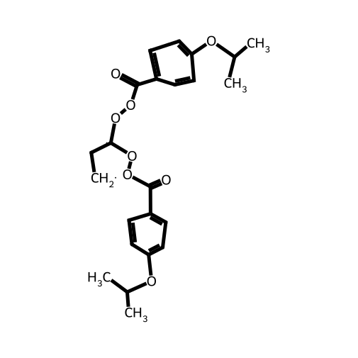 [CH2]C[C](OOC(=O)c1ccc(OC(C)C)cc1)OOC(=O)c1ccc(OC(C)C)cc1